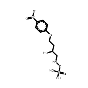 O=[N+]([O-])c1ccc(OCCC(O)CNOP(=O)(O)O)cc1